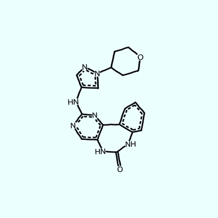 O=C1Nc2ccccc2-c2nc(Nc3cnn(C4CCOCC4)c3)ncc2N1